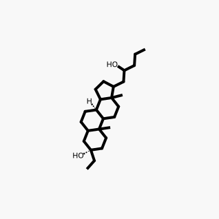 CCCC(O)CC1CCC2[C@@H]3CCC4C[C@](O)(CC)CCC4(C)C3CCC12C